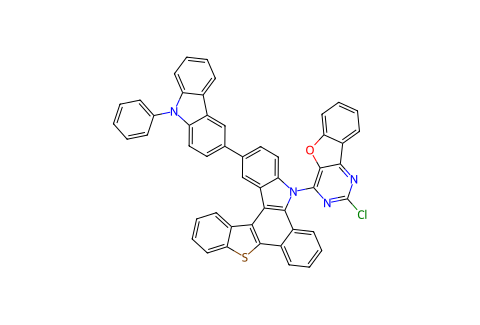 Clc1nc(-n2c3ccc(-c4ccc5c(c4)c4ccccc4n5-c4ccccc4)cc3c3c4c5ccccc5sc4c4ccccc4c32)c2oc3ccccc3c2n1